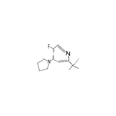 CC(C)(C)c1cc(N2CCCC2)c(F)cn1